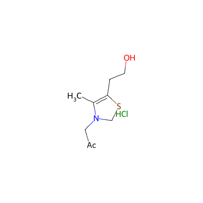 CC(=O)CN1CSC(CCO)=C1C.Cl